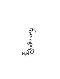 COCCOCCOCC(=O)OCOc1ccc(N)c2cccnc12